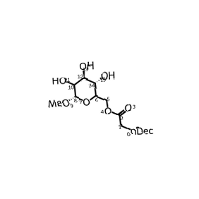 CCCCCCCCCCCC(=O)OCC1O[C@H](OC)C(O)[C@@H](O)[C@@H]1O